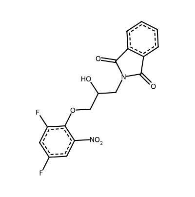 O=C1c2ccccc2C(=O)N1CC(O)COc1c(F)cc(F)cc1[N+](=O)[O-]